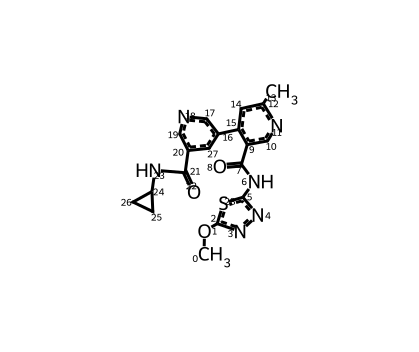 COc1nnc(NC(=O)c2cnc(C)cc2-c2cncc(C(=O)NC3CC3)c2)s1